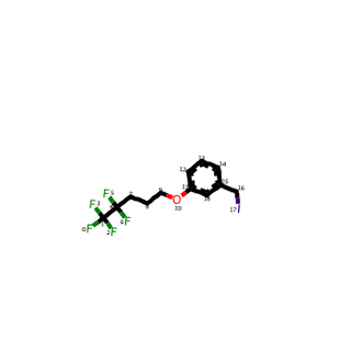 FC(F)(F)C(F)(F)CCCOc1cccc(CI)c1